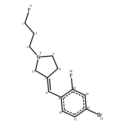 FCCCN1CC/C(=C\c2ccc(Br)cc2F)C1